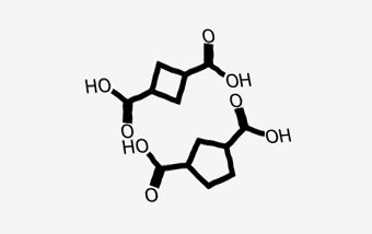 O=C(O)C1CC(C(=O)O)C1.O=C(O)C1CCC(C(=O)O)C1